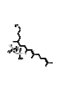 CC(C)=CCC/C(C)=C/C(CCC(C)CCCC(C)C)OP(=O)(O)OP(=O)(O)O